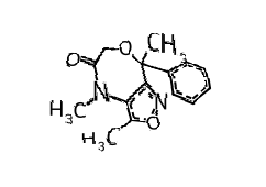 Cc1onc2c1N(C)C(=O)COC2(C)c1ccccc1